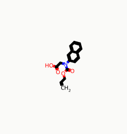 C=CCOC(=O)N(CC(=O)O)c1ccc2ccccc2c1